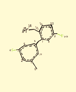 Cc1cc(F)cc(-c2cc(F)ccc2C(C)C)c1